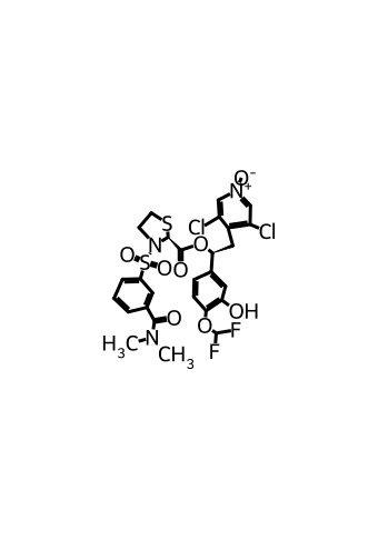 CN(C)C(=O)c1cccc(S(=O)(=O)N2CCS[C@H]2C(=O)O[C@@H](Cc2c(Cl)c[n+]([O-])cc2Cl)c2ccc(OC(F)F)c(O)c2)c1